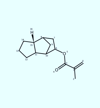 C=C(C)C(=O)OC1CC2CC1C1CCC[C@H]21